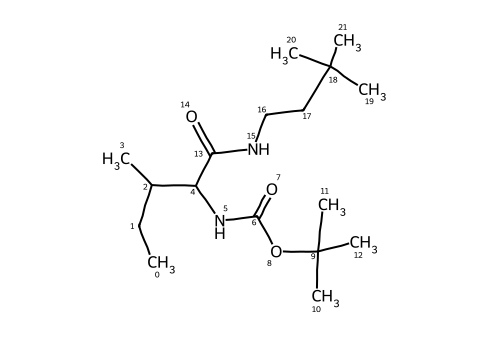 CCC(C)C(NC(=O)OC(C)(C)C)C(=O)NCCC(C)(C)C